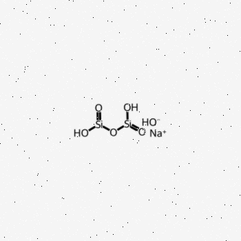 O=[Si](O)O[Si](=O)O.[Na+].[OH-]